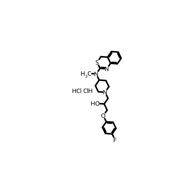 CN(C1=Nc2ccccc2CS1)C1CCN(CC(O)COc2ccc(F)cc2)CC1.Cl.Cl